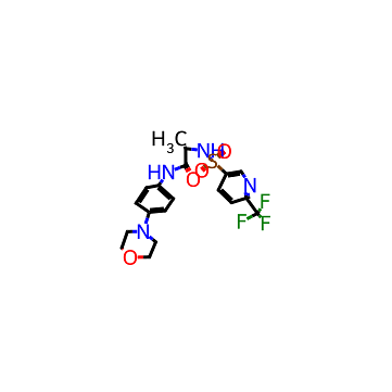 CC(NS(=O)(=O)c1ccc(C(F)(F)F)nc1)C(=O)Nc1ccc(N2CCOCC2)cc1